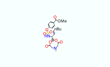 CCCC/C=C/C(NS(=O)(=O)Oc1ccc(C(=O)OC)cc1)B1OC(=O)CN(C)CC(=O)O1